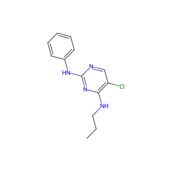 CCCNc1nc(Nc2ccccc2)ncc1Cl